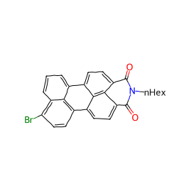 CCCCCCN1C(=O)c2ccc3c4cccc5c(Br)ccc(c6ccc(c2c36)C1=O)c54